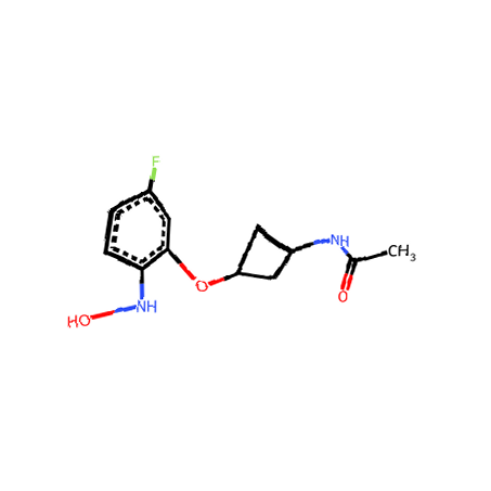 CC(=O)NC1CC(Oc2cc(F)ccc2NO)C1